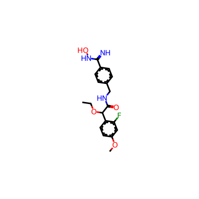 CCOC(C(=O)NCc1ccc(C(=N)NO)cc1)c1ccc(OC)cc1F